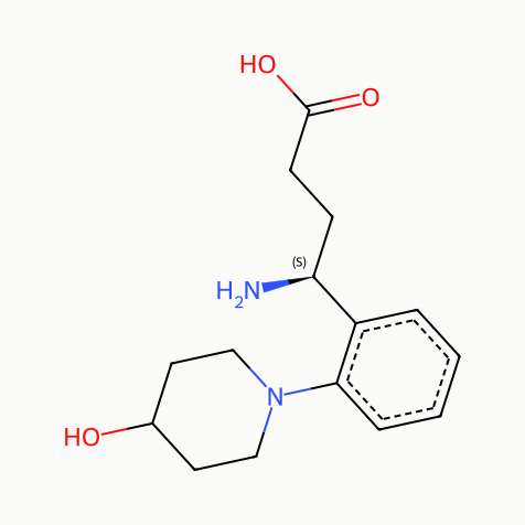 N[C@@H](CCC(=O)O)c1ccccc1N1CCC(O)CC1